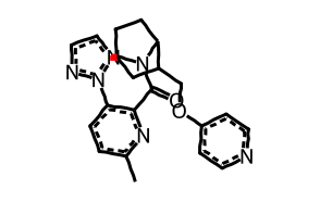 Cc1ccc(-n2nccn2)c(C(=O)N2C3CCC2C(COc2ccncc2)C3)n1